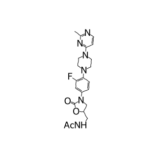 CC(=O)NCC1CN(c2ccc(N3CCN(c4ccnc(C)n4)CC3)c(F)c2)C(=O)O1